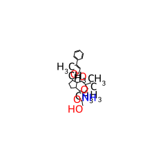 C/C(=C\C(=O)O[C@H]1[C@H]2C(CC[C@H]2C)C2(C)OC1(C(C)C)C[C@H]2NC(=O)CO)c1ccccc1